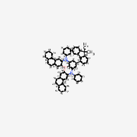 CC1(C)c2ccccc2-c2c(-c3cc4c5c(c3)N(c3ccccc3)c3cc6c(ccc7ccccc76)cc3B5c3cc5ccc6ccccc6c5cc3N4c3ccccc3)cccc21